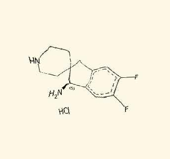 Cl.N[C@@H]1c2cc(F)c(F)cc2CC12CCNCC2